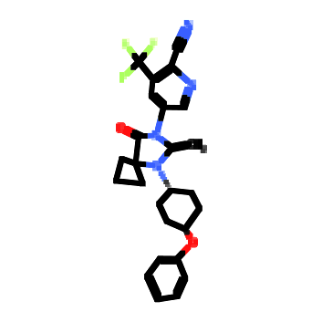 C=C1N(c2cnc(C#N)c(C(F)(F)F)c2)C(=O)C2(CCC2)N1[C@H]1CC[C@H](Oc2ccccc2)CC1